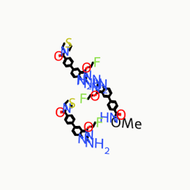 CONC(=O)c1ccc(-c2ccc3nc(N)nc(OCCF)c3c2)cc1.Nc1nc(OCCF)c2cc(-c3ccc(C(=O)N4CCSC4)cc3)ccc2n1.Nc1nc(OCCF)c2cc(-c3ccc(C(=O)N4CCSCC4)cc3)ccc2n1